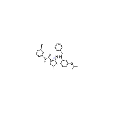 CC(C)Sc1cccc(N(Cc2ccccc2)/N=C2\SC(C)CN2C(=S)Nc2cccc(F)c2)c1